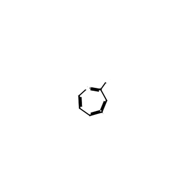 O=S(=O)(O)C1=NC=CC=C=C1